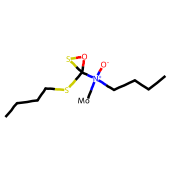 CCCCSC1([N+]([O-])([Mo])CCCC)OS1